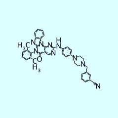 Cc1cccc(C)c1-n1c(=O)c2cnc(Nc3ccc(N4CCN(Cc5cccc(C#N)c5)CC4)cc3)nc2n2c3ccccc3nc12